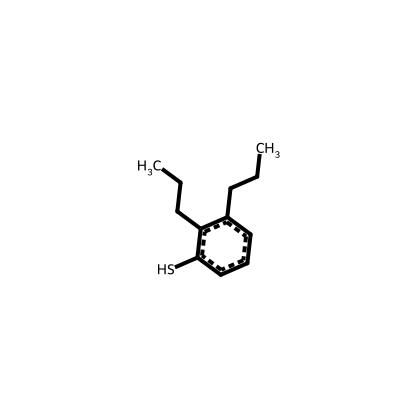 CCCc1cccc(S)c1CCC